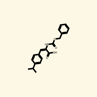 CC(C)c1ccc(/C=C(/NC(=O)OCc2ccccc2)C(=O)O)cc1